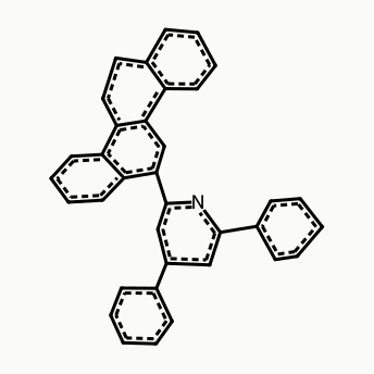 c1ccc(-c2cc(-c3ccccc3)nc(-c3cc4c5ccccc5ccc4c4ccccc34)c2)cc1